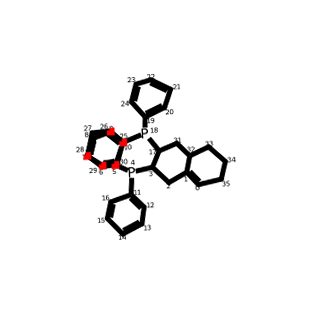 C1=C2CC(P(c3ccccc3)c3ccccc3)C(P(c3ccccc3)c3ccccc3)CC2CCC1